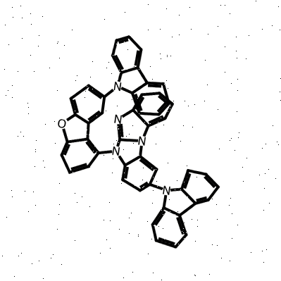 c1ccc2c(c1)nc1n(-c3cccc4oc5ccc(-n6c7ccccc7c7ccccc76)cc5c34)c3ccc(-n4c5ccccc5c5ccccc54)cc3n21